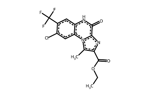 CCOC(=O)c1nc2c(=O)[nH]c3cc(C(F)(F)F)c(Cl)cc3n2c1C